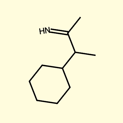 CC(=N)C(C)C1CCCCC1